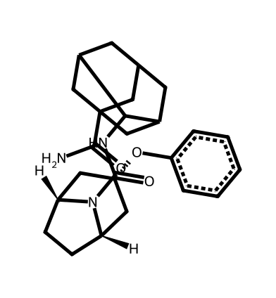 NC(=O)C12CC3CC(C1)C(NC(=O)N1[C@@H]4CC[C@H]1C[C@@H](Oc1ccccc1)C4)C(C3)C2